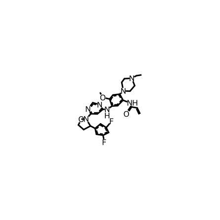 C=CC(=O)Nc1cc(Nc2cc(N3OCCC3c3cc(F)cc(F)c3)ncn2)c(OC)cc1N1CCN(CC)CC1